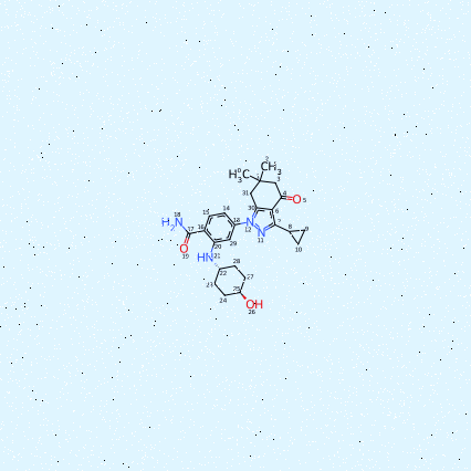 CC1(C)CC(=O)c2c(C3CC3)nn(-c3ccc(C(N)=O)c(N[C@H]4CC[C@H](O)CC4)c3)c2C1